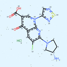 Cl.N[C@H]1CCN(c2nc3c(cc2F)c(=O)c(C(=O)O)cn3-c2cnsn2)C1